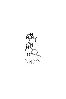 CC(Oc1ccc2c(c1)OCCn1cc(-c3ncnn3C(C)C)nc1-2)C1CN(C(C)C)C1